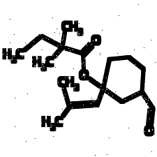 CCC(C)(C)C(=O)OC1(C=C(C)C)CCCC(C=O)C1